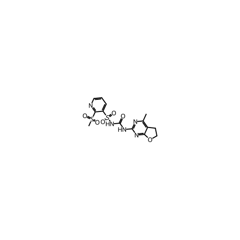 Cc1nc(NC(=O)NS(=O)(=O)c2cccnc2S(C)(=O)=O)nc2c1CCO2